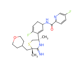 C[C@@]1(C2=CC(NC(=O)c3ccc(F)cn3)CC=C2F)CS[C@@](C)(CC2CCOCC2)C(=N)N1